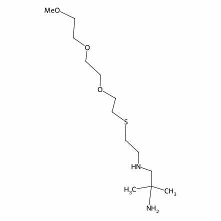 COCCOCCOCCSCCNCC(C)(C)N